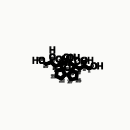 OCC(O)CC(O)(CO)C1(OC2(C(O)(CO)CC(O)CO)CCCC2)CCCC1